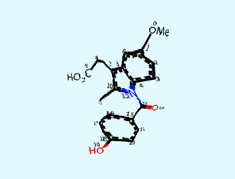 COc1ccc2c(c1)c(CC(=O)O)c(C)n2C(=O)c1ccc(O)cc1